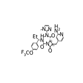 CCC(NC(=O)N1C(=O)[C@H](Cc2ccnc(N)c2)[C@H]1C(=O)N(C)c1nccn1C)c1ccc(OC(F)(F)F)cc1